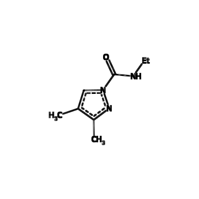 [CH2]CNC(=O)n1cc(C)c(C)n1